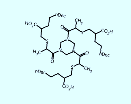 CCCCCCCCCCCCC(CSC(C)C(=O)N1CN(C(=O)C(C)SCC(CCCCCCCCCCCC)C(=O)O)CN(C(=O)C(C)SCC(CCCCCCCCCCCC)C(=O)O)C1)C(=O)O